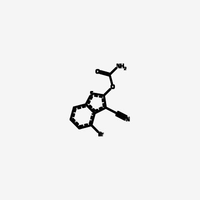 N#Cc1c(OC(N)=O)sc2cccc(Br)c12